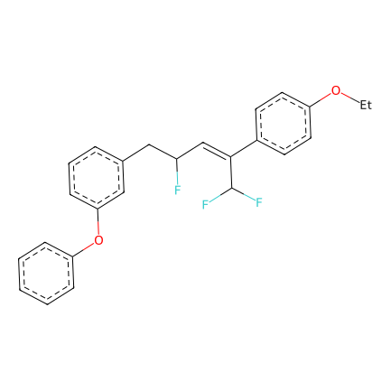 CCOc1ccc(C(=CC(F)Cc2cccc(Oc3ccccc3)c2)C(F)F)cc1